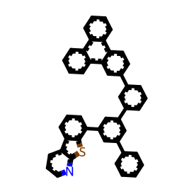 c1ccc(-c2cc(-c3cccc(-c4ccc5c6ccccc6c6ccccc6c5c4)c3)cc(-c3cccc4c3sc3ncccc34)c2)cc1